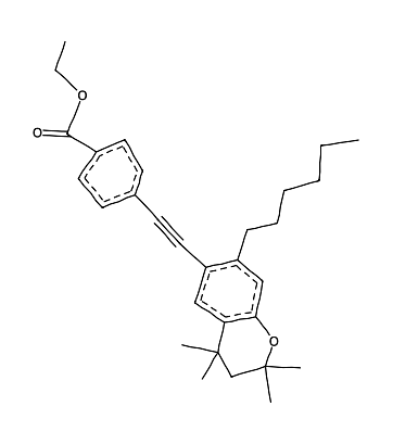 CCCCCCc1cc2c(cc1C#Cc1ccc(C(=O)OCC)cc1)C(C)(C)CC(C)(C)O2